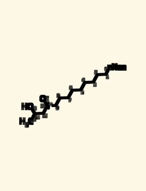 CCCCCCCCCCCCCCCCCC[S+]([O-])CC(C)O